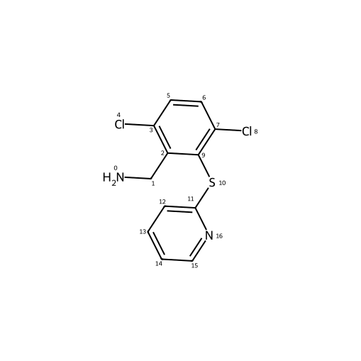 NCc1c(Cl)ccc(Cl)c1Sc1ccccn1